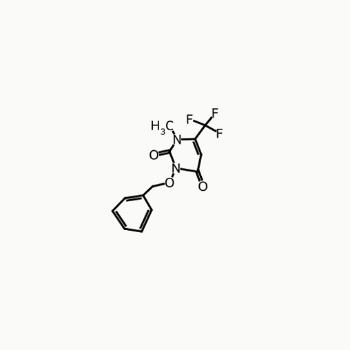 Cn1c(C(F)(F)F)cc(=O)n(OCc2ccccc2)c1=O